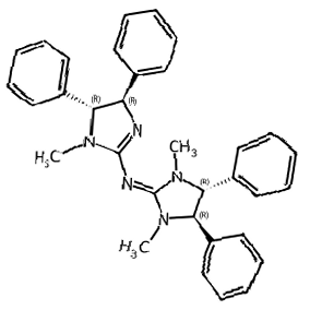 CN1C(N=C2N(C)[C@H](c3ccccc3)[C@@H](c3ccccc3)N2C)=N[C@H](c2ccccc2)[C@H]1c1ccccc1